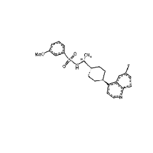 COc1cccc(S(=O)(=O)N[C@H](C)[C@H]2CC[C@H](c3ccnc4ccc(F)cc43)CC2)c1